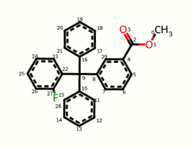 COC(=O)c1cccc(C(c2ccccc2)(c2ccccc2)c2ccccc2F)c1